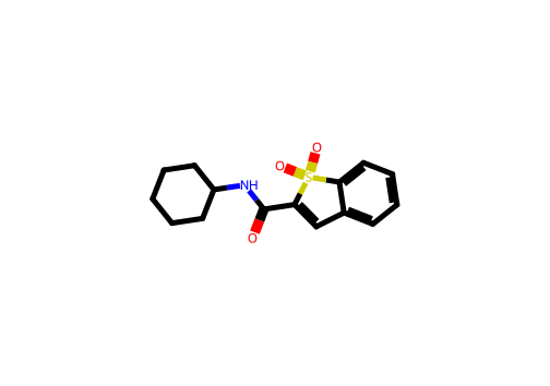 O=C(NC1CCCCC1)C1=Cc2ccccc2S1(=O)=O